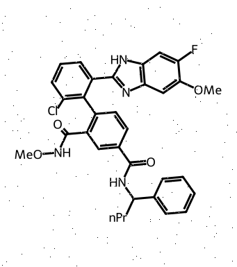 CCCC(NC(=O)c1ccc(-c2c(Cl)cccc2-c2nc3cc(OC)c(F)cc3[nH]2)c(C(=O)NOC)c1)c1ccccc1